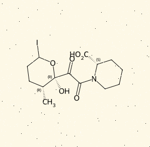 C[C@@H]1CCC(I)O[C@@]1(O)C(=O)C(=O)N1CCCC[C@H]1C(=O)O